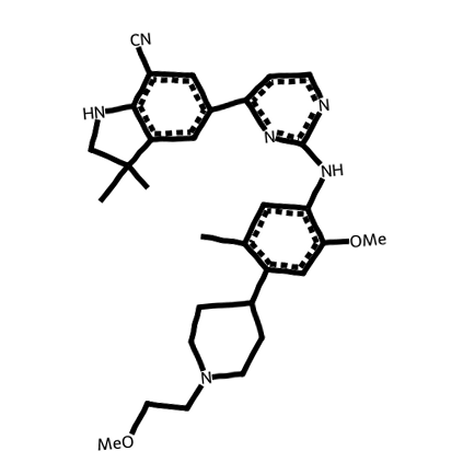 COCCN1CCC(c2cc(OC)c(Nc3nccc(-c4cc(C#N)c5c(c4)C(C)(C)CN5)n3)cc2C)CC1